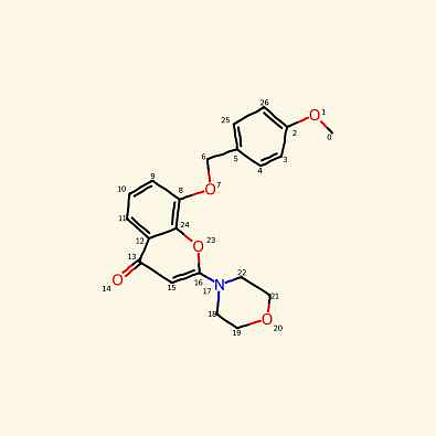 COc1ccc(COc2cccc3c(=O)cc(N4CCOCC4)oc23)cc1